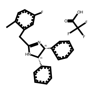 Cc1ccc(F)cc1CC1=N[C@H](c2ccccc2)[C@H](c2ccccc2)N1.O=C(O)C(F)(F)F